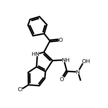 CN(O)C(=O)Nc1c(C(=O)c2ccccc2)[nH]c2cc(Cl)ccc12